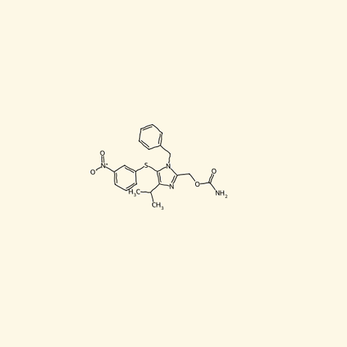 CC(C)c1nc(COC(N)=O)n(Cc2ccccc2)c1Sc1cccc([N+](=O)[O-])c1